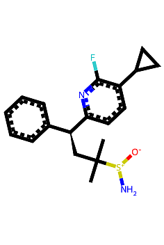 CC(C)(C[C@@H](c1ccccc1)c1ccc(C2CC2)c(F)n1)[S+](N)[O-]